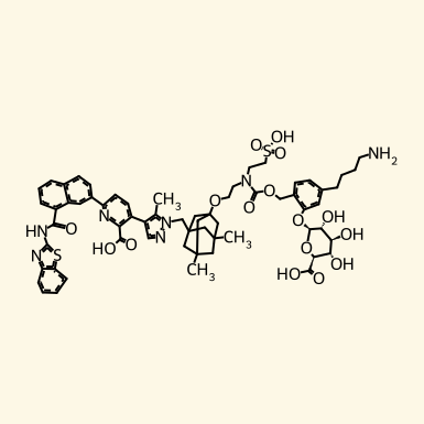 Cc1c(-c2ccc(-c3ccc4cccc(C(=O)Nc5nc6ccccc6s5)c4c3)nc2C(=O)O)cnn1CC12CC3(C)CC(C)(C1)CC(OCCN(CCS(=O)(=O)O)C(=O)OCc1ccc(CCCCN)cc1O[C@@H]1O[C@H](C(=O)O)[C@@H](O)[C@H](O)[C@H]1O)(C3)C2